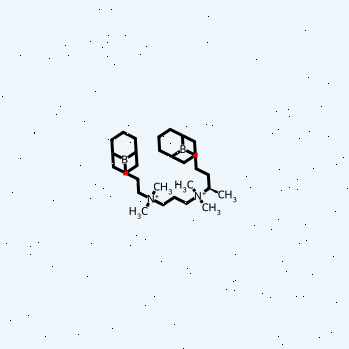 C[C@H](CCCB1C2CCCC1CCC2)[N+](C)(C)CCC[N+](C)(C)CCCB1C2CCCC1CCC2